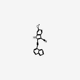 COc1ccc2c(C#N)c(C#Cc3cccc4ccccc34)[nH]c2c1